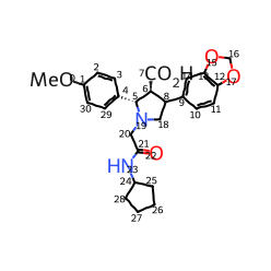 COc1ccc([C@@H]2[C@@H](C(=O)O)C(c3ccc4c(c3)OCO4)CN2CC(=O)NC2CCCC2)cc1